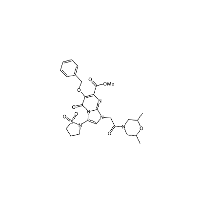 COC(=O)c1nc2n(CC(=O)N3CC(C)OC(C)C3)cc(N3CCCS3(=O)=O)n2c(=O)c1OCc1ccccc1